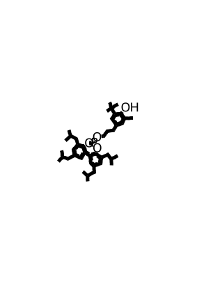 Cc1cc(CCCOp2oc3c(CC(C)C)cc(CC(C)C)cc3c3cc(CC(C)C)cc(CC(C)C)c3o2)cc(C(C)(C)C)c1O